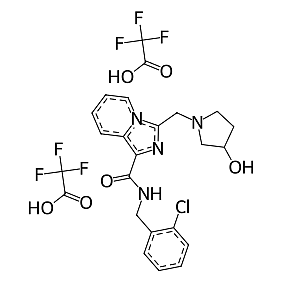 O=C(NCc1ccccc1Cl)c1nc(CN2CCC(O)C2)n2ccccc12.O=C(O)C(F)(F)F.O=C(O)C(F)(F)F